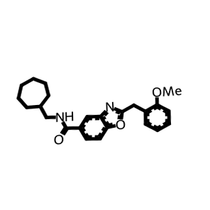 COc1ccccc1Cc1nc2cc(C(=O)NCC3CCCCCC3)ccc2o1